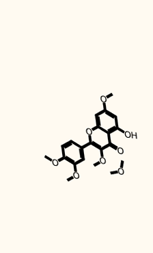 COC.COc1cc(O)c2c(=O)c(OC)c(-c3ccc(OC)c(OC)c3)oc2c1